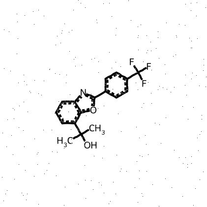 CC(C)(O)c1cccc2nc(-c3ccc(C(F)(F)F)cc3)oc12